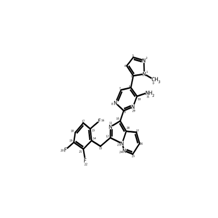 Cn1nccc1-c1cnc(-c2nc(Cc3c(F)ccc(F)c3F)n3ncccc23)nc1N